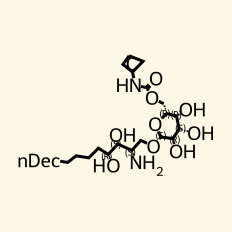 CCCCCCCCCCCCCC[C@@H](O)[C@@H](O)[C@@H](N)CO[C@H]1O[C@H](COC(=O)NC23CC(C2)C3)[C@H](O)[C@H](O)[C@H]1O